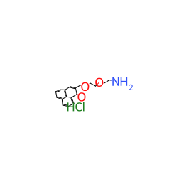 Cl.NCCOCCOCC1=Cc2cccc3cccc(c23)C1=O